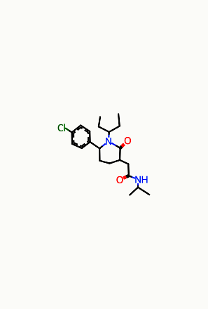 CCC(CC)N1C(=O)C(CC(=O)NC(C)C)CCC1c1ccc(Cl)cc1